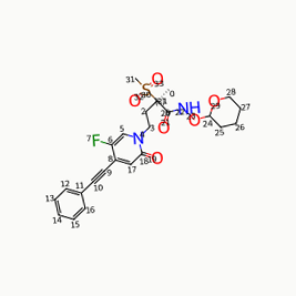 C[C@@](CCn1cc(F)c(C#Cc2ccccc2)cc1=O)(C(=O)NOC1CCCCO1)S(C)(=O)=O